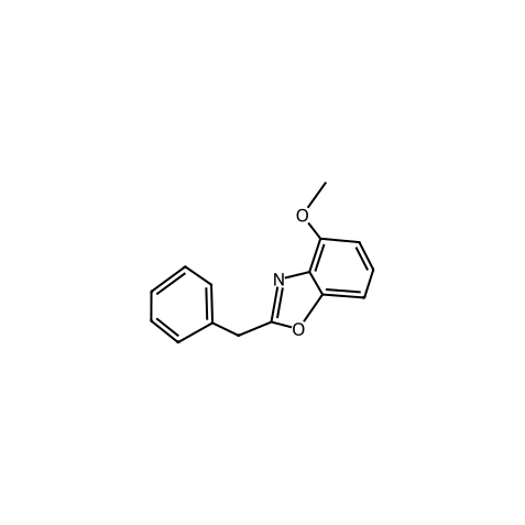 COc1cccc2oc(Cc3ccccc3)nc12